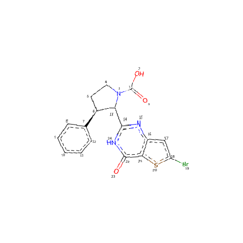 O=C(O)N1CC[C@H](c2ccccc2)C1c1nc2cc(Br)sc2c(=O)[nH]1